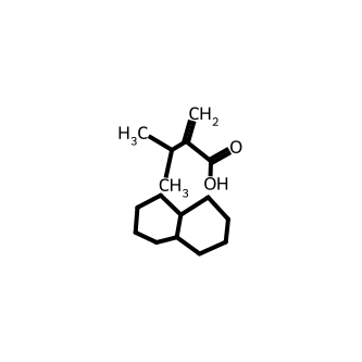 C1CCC2CCCCC2C1.C=C(C(=O)O)C(C)C